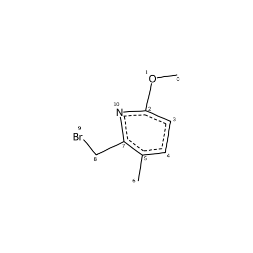 COc1ccc(C)c(CBr)n1